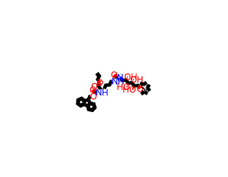 C=CCOC(=O)[C@H](CCCCNC(=O)N(C)C[C@H](O)[C@@H](O)[C@H](O)[C@H](O)CO[Si](C(C)C)(C(C)C)C(C)C)NC(=O)OCC1c2ccccc2-c2ccccc21